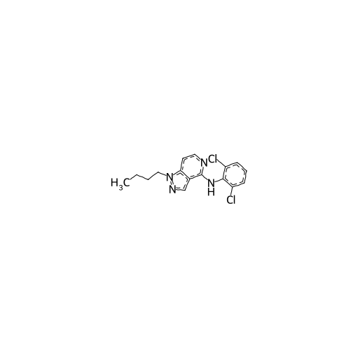 CCCCn1ncc2c(Nc3c(Cl)cccc3Cl)nccc21